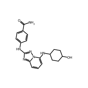 NC(=O)c1ccc(Nc2nc3cccc(NC4CCC(O)CC4)n3n2)cc1